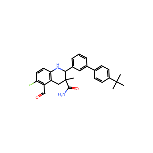 CC(C)(C)c1ccc(-c2cccc(C3Nc4ccc(F)c([C]=O)c4CC3(C)C(N)=O)c2)cc1